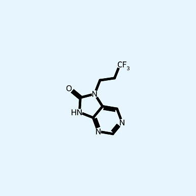 O=c1[nH]c2ncncc2n1CCC(F)(F)F